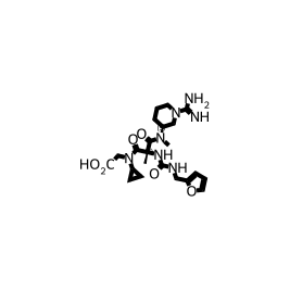 CN(C(=O)[C@](C)(NC(=O)NCc1ccco1)C(=O)N(CC(=O)O)C1CC1)[C@H]1CCCN(C(=N)N)C1